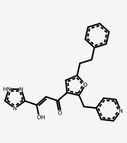 O=C(C=C(O)c1nc[nH]n1)c1cc(CCc2ccccc2)oc1Cc1ccncc1